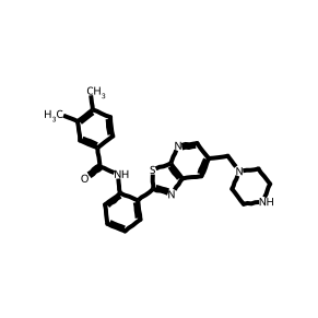 Cc1ccc(C(=O)Nc2ccccc2-c2nc3cc(CN4CCNCC4)cnc3s2)cc1C